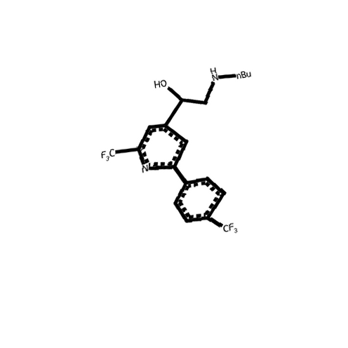 CCCCNCC(O)c1cc(-c2ccc(C(F)(F)F)cc2)nc(C(F)(F)F)c1